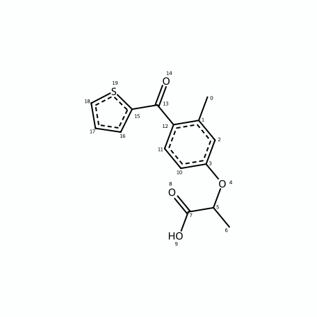 Cc1cc(OC(C)C(=O)O)ccc1C(=O)c1cccs1